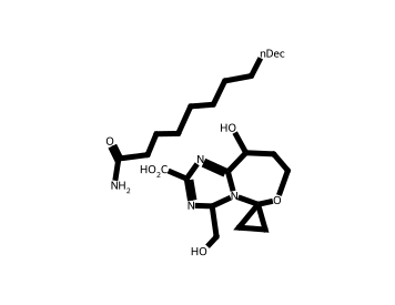 CCCCCCCCCCCCCCCCCC(N)=O.O=C(O)C1=NC(CO)N2C(=N1)C(O)CCOC21CC1